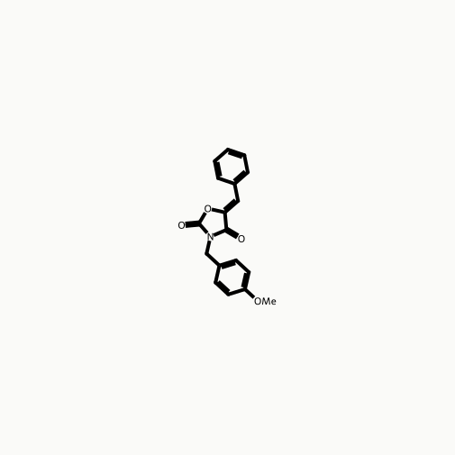 COc1ccc(CN2C(=O)O/C(=C\c3ccccc3)C2=O)cc1